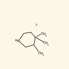 CC1CNCC[N+]1(C)C.[I-]